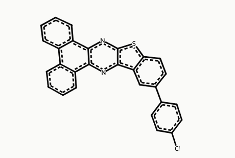 Clc1ccc(-c2ccc3sc4nc5c6ccccc6c6ccccc6c5nc4c3c2)cc1